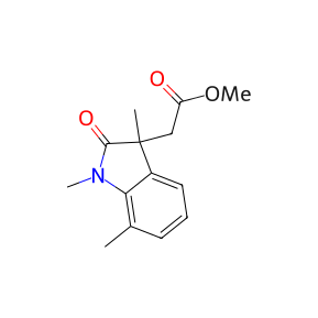 COC(=O)CC1(C)C(=O)N(C)c2c(C)cccc21